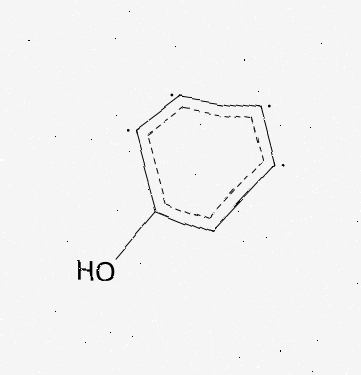 Oc1[c][c][c][c]c1